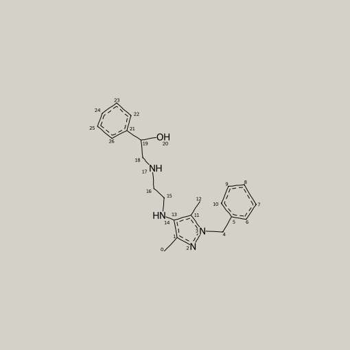 Cc1nn(Cc2ccccc2)c(C)c1NCCNCC(O)c1ccccc1